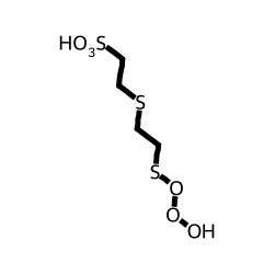 O=S(=O)(O)CCSCCSOOO